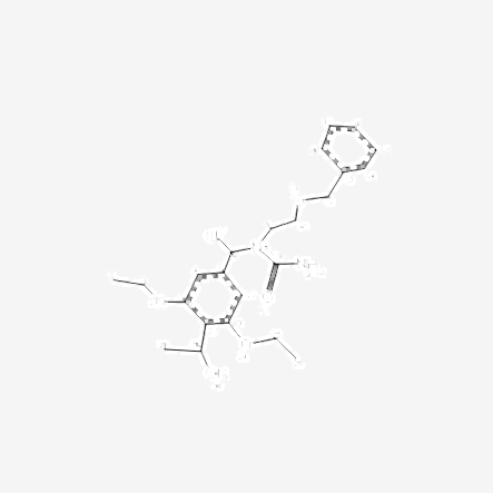 CCOc1cc(C(Cl)N(CCOCc2ccccc2)C(N)=O)cc(OCC)c1C(C)O